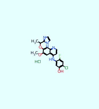 COc1cc2c(Nc3cc(O)c(Cl)cc3F)ccnc2cc1OC(C)c1ncc[nH]1.Cl